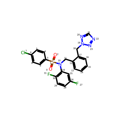 O=S(=O)(c1ccc(Cl)cc1)N(Cc1ccccc1Cn1ncnn1)c1cc(F)ccc1F